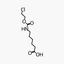 O=C(O)CCCCCNC(=O)OCCCl